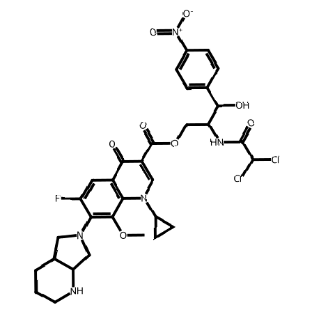 COc1c(N2CC3CCCNC3C2)c(F)cc2c(=O)c(C(=O)OCC(NC(=O)C(Cl)Cl)C(O)c3ccc([N+](=O)[O-])cc3)cn(C3CC3)c12